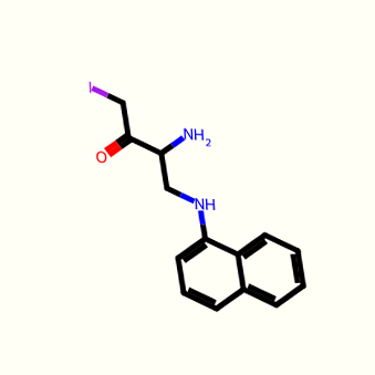 NC(CNc1cccc2ccccc12)C(=O)CI